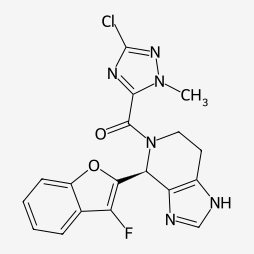 Cn1nc(Cl)nc1C(=O)N1CCc2[nH]cnc2[C@H]1c1oc2ccccc2c1F